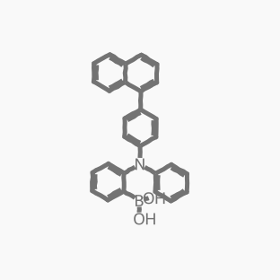 OB(O)c1ccccc1N(c1ccccc1)c1ccc(-c2cccc3ccccc23)cc1